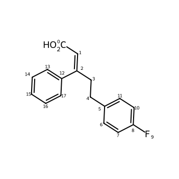 O=C(O)/C=C(/CCc1ccc(F)cc1)c1ccccc1